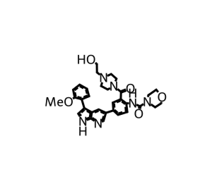 COc1ccccc1-c1c[nH]c2ncc(-c3ccc(NC(=O)N4CCOCC4)c(C(=O)N4CCN(CCO)CC4)c3)cc12